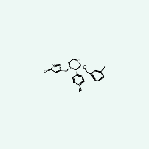 Cc1cccc(CO[C@H]2OCCN(CC3=CC(=O)N=C3)[C@H]2c2ccc(F)cc2)c1